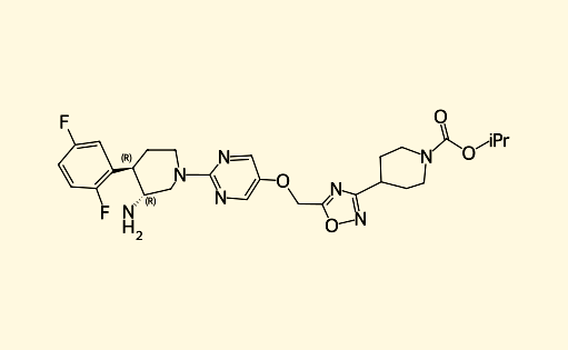 CC(C)OC(=O)N1CCC(c2noc(COc3cnc(N4CC[C@H](c5cc(F)ccc5F)[C@@H](N)C4)nc3)n2)CC1